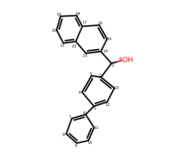 OC(c1ccc(-c2ccccc2)cc1)c1ccc2ccccc2c1